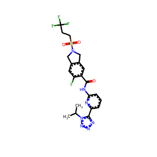 CC(C)n1nnnc1-c1cccc(NC(=O)c2cc3c(cc2F)CN(S(=O)(=O)CCC(F)(F)F)C3)n1